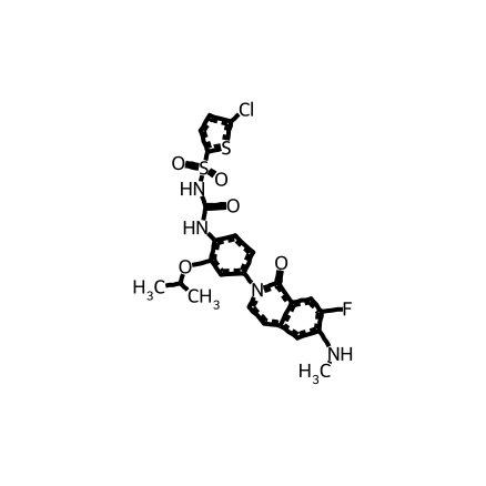 CNc1cc2ccn(-c3ccc(NC(=O)NS(=O)(=O)c4ccc(Cl)s4)c(OC(C)C)c3)c(=O)c2cc1F